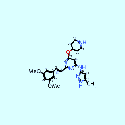 COc1cc(/C=C/c2nc(Nc3cc(C)[nH]n3)cc(OC3CCNCC3)n2)cc(OC)c1